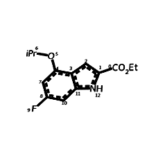 CCOC(=O)c1cc2c(OC(C)C)cc(F)cc2[nH]1